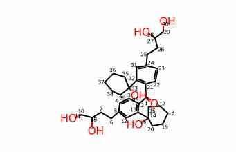 O=C(c1ccc(CCC(O)CO)cc1C1(O)CCCCC1)c1ccc(CCC(O)CO)cc1C1(O)CCCCC1